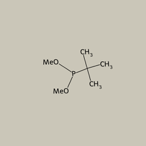 COP(OC)C(C)(C)C